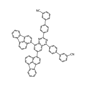 N#Cc1cccc(-c2ccc(-c3nc(-c4ccc(-c5cccc(C#N)c5)cc4)c4cc(-c5ccc6c7c(cccc57)-c5ccccc5-6)cc(-c5ccc6c7c(cccc57)-c5ccccc5-6)c4n3)cc2)c1